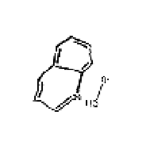 [O]O.c1ccc2ncccc2c1